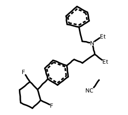 CC#N.CCC(CCc1ccc(C2C(F)CCCC2F)cc1)N(CC)Cc1ccccc1